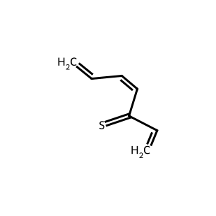 C=C/C=C\C(=S)C=C